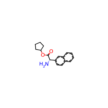 N[C@H](C(=O)OC1CCCC1)c1ccc2ccccc2c1